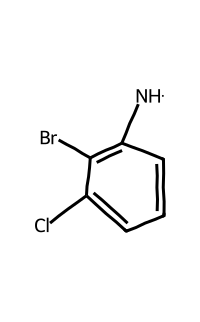 [NH]c1cccc(Cl)c1Br